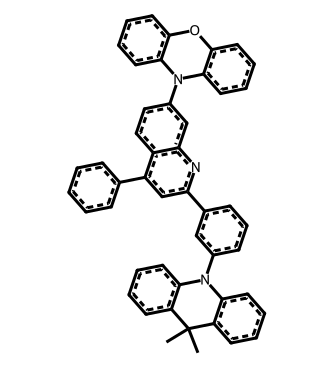 CC1(C)c2ccccc2N(c2cccc(-c3cc(-c4ccccc4)c4ccc(N5c6ccccc6Oc6ccccc65)cc4n3)c2)c2ccccc21